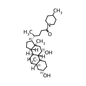 CC1CCN(C(=O)CCC(C)[C@H]2CC[C@H]3[C@@H]4CC[C@H]5C[C@@H](O)CC[C@]5(C)[C@H]4[C@@H](O)C[C@]23C)CC1